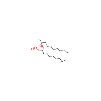 CCCCCCCCCC(C)O.CCCCCCCCCCO